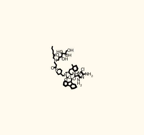 CCCCCCN(CCC(=O)N1CCC(CN(C[C@H](CNC(=O)c2nc(Cl)c(N)nc2N)Cc2ccccc2C)C(=O)OCC2c3ccccc3-c3ccccc32)CC1)C[C@@H](O)[C@@H](O)[C@H](O)[C@H](O)CO